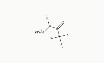 C=C(C(F)CCCCC)C(C)(C)F